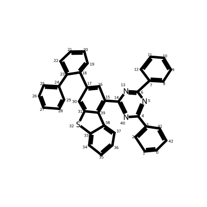 c1ccc(-c2nc(-c3ccccc3)nc(-c3cc(-c4ccccc4-c4ccccc4)cc4sc5ccccc5c34)n2)cc1